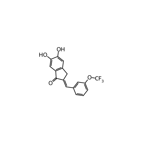 O=C1C(=Cc2cccc(OC(F)(F)F)c2)Cc2cc(O)c(O)cc21